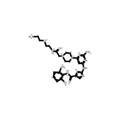 Cc1nc(Nc2ncc(C(=O)Nc3c(C)cccc3Cl)s2)cc(N2CCN(CC(=O)NCCOCCN)CC2)n1